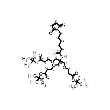 CC(C)(C)OC(=O)CCOCC(COCCC(=O)OC(C)(C)C)(COCCC(=O)OC(C)(C)C)NC(=O)CCCCCN1C(=O)C=CC1=O